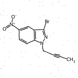 CC#CCn1nc(Br)c2cc([N+](=O)[O-])ccc21